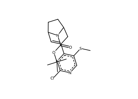 CSc1cnc(Cl)nc1C1=CC2CCC(C1)N2C(=O)OC(C)(C)C